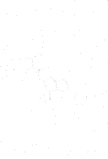 N#C[C@@H]1CSCN1C(=O)Cc1cc(C(N)=O)c2cc([C@H]3CCCCO3)ccc2n1